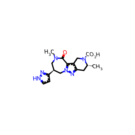 C[C@@H]1Cc2nn3c(c2CN1C(=O)O)C(=O)N(C)C[C@H](c1cc[nH]n1)C3